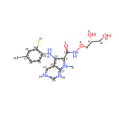 Cn1c(C(=O)NOC[C@H](O)CO)c(Nc2ccc(I)cc2F)c2cncnc21